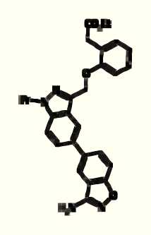 CCOC(=O)Cc1ccccc1OCc1nn(C(C)C)c2ccc(-c3ccc4onc(N)c4c3)cc12